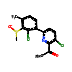 COC(=O)c1nc(-c2ccc(C(F)(F)F)c([S+](C)[O-])c2Cl)ccc1Cl